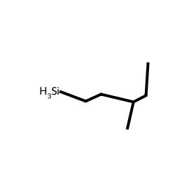 CCC(C)CC[SiH3]